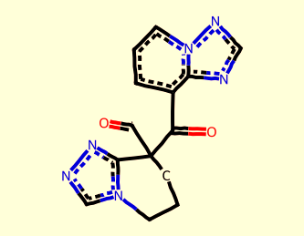 O=[C]C1(C(=O)c2cccn3ncnc23)CCCn2cnnc21